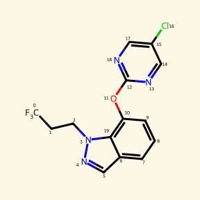 FC(F)(F)CCn1ncc2cccc(Oc3ncc(Cl)cn3)c21